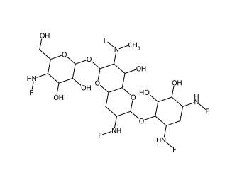 CN(F)C1C(OC2OC(CO)C(NF)C(O)C2O)OC2CC(NF)C(OC3C(NF)CC(NF)C(O)C3O)OC2C1O